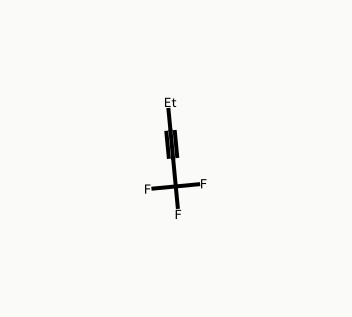 CCC#CC(F)(F)F